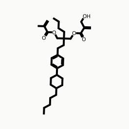 C=C(C)C(=O)OCC(CCCC)(CCc1ccc(C2CCC(CCCCC)CC2)cc1)COC(=O)C(=C)CO